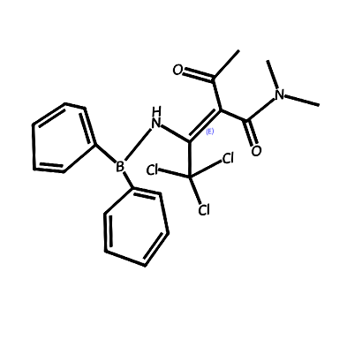 CC(=O)/C(C(=O)N(C)C)=C(\NB(c1ccccc1)c1ccccc1)C(Cl)(Cl)Cl